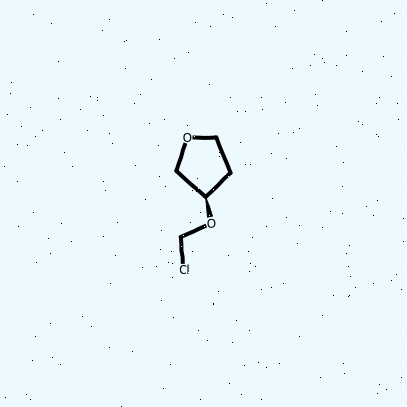 ClCO[C@@H]1CCOC1